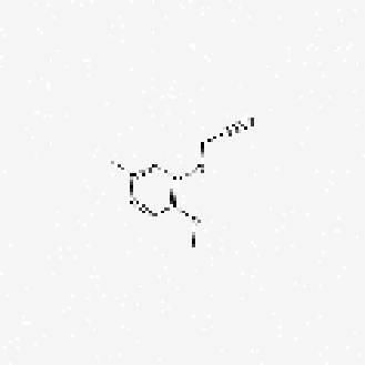 COc1ccc(C)cc1OCC#N